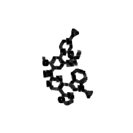 C=CC(=O)Nc1cc(Nc2ncc(-c3ncco3)c(-c3cn(C4CC4)c4ccccc34)n2)c(OC)cc1N1CCN(C2CC2)CC1